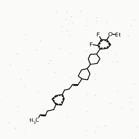 C/C=C/CCc1ccc(CC/C=C/C2CCC(C3CCC(c4ccc(OCC)c(F)c4F)CC3)CC2)cc1